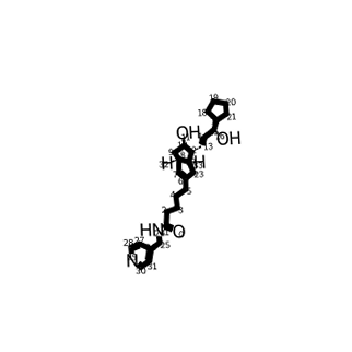 O=C(CCCCC1=C[C@H]2C[C@@H](O)[C@H](/C=C/[C@@H](O)C3CCCC3)[C@H]2C1)NCc1ccncc1